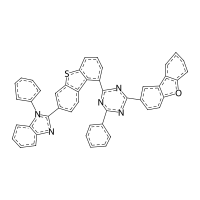 c1ccc(-c2nc(-c3ccc4oc5ccccc5c4c3)nc(-c3cccc4sc5cc(-c6nc7ccccc7n6-c6ccccc6)ccc5c34)n2)cc1